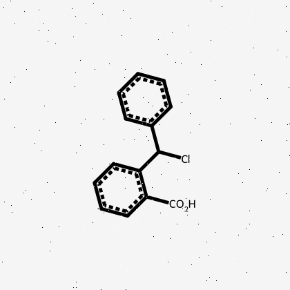 O=C(O)c1c[c]ccc1C(Cl)c1ccccc1